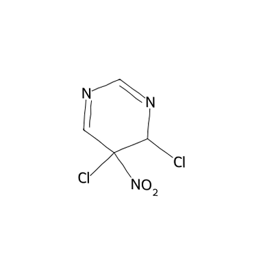 O=[N+]([O-])C1(Cl)C=NC=NC1Cl